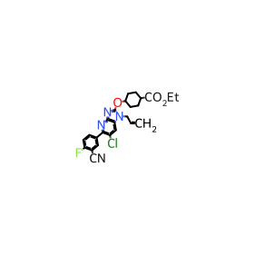 C=CCn1c(OC2CCC(C(=O)OCC)CC2)nc2nc(-c3ccc(F)c(C#N)c3)c(Cl)cc21